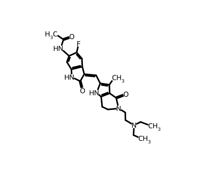 CCN(CC)CCN1CCc2[nH]c(C=C3C(=O)Nc4cc(NC(C)=O)c(F)cc43)c(C)c2C1=O